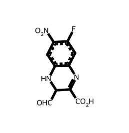 O=CC1Nc2cc([N+](=O)[O-])c(F)cc2N=C1C(=O)O